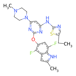 CCc1cnc(Nc2cc(N3CCN(C)CC3)nc(Oc3cc(F)c4[nH]c(C)cc4c3F)n2)s1